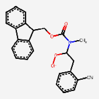 CN(C(=O)OCC1c2ccccc2-c2ccccc21)C(Cc1ccccc1C#N)OO